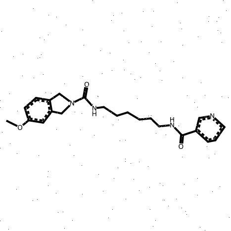 COc1ccc2c(c1)CN(C(=O)NCCCCCCNC(=O)c1cccnc1)C2